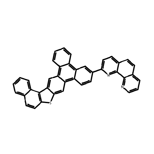 c1ccc2c(c1)ccc1sc3cc4c5ccc(-c6ccc7ccc8cccnc8c7n6)cc5c5ccccc5c4cc3c12